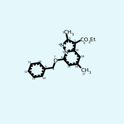 CCOC(=O)c1c(C)nn2c(OCc3ccccc3)cc(C)cc12